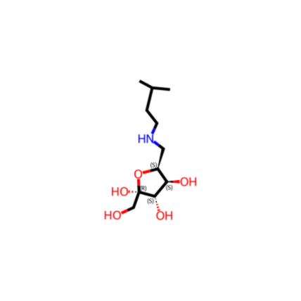 CC(C)CCNC[C@@H]1O[C@](O)(CO)[C@@H](O)[C@@H]1O